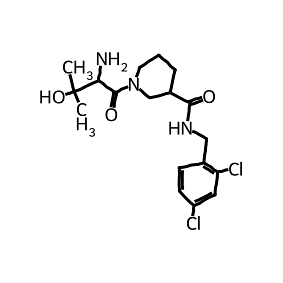 CC(C)(O)C(N)C(=O)N1CCCC(C(=O)NCc2ccc(Cl)cc2Cl)C1